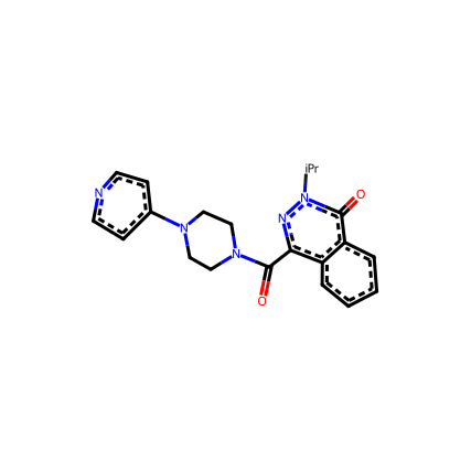 CC(C)n1nc(C(=O)N2CCN(c3ccncc3)CC2)c2ccccc2c1=O